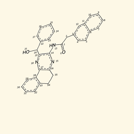 O=C(Cc1ccc2ccccc2c1)Nc1nc2c(nc1C(O)c1ccccc1)-c1ccccc1CC2